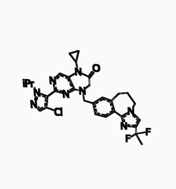 CC(C)n1ncc(Cl)c1-c1ncc2c(n1)N(Cc1ccc3c(c1)CCCn1cc(C(C)(F)F)nc1-3)CC(=O)N2C1CC1